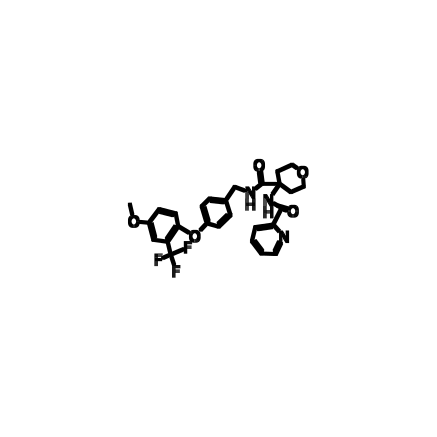 COc1ccc(Oc2ccc(CNC(=O)C3(NC(=O)c4ccccn4)CCOCC3)cc2)c(C(F)(F)F)c1